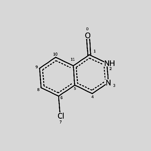 O=c1[nH]ncc2c(Cl)cccc12